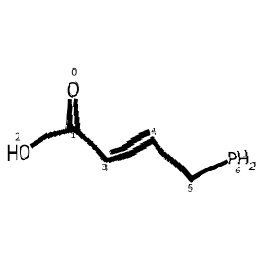 O=C(O)C=CCP